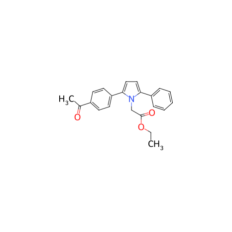 CCOC(=O)Cn1c(-c2ccccc2)ccc1-c1ccc(C(C)=O)cc1